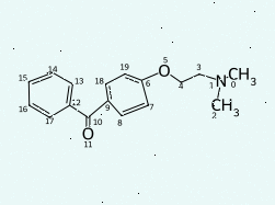 CN(C)CCOc1ccc(C(=O)c2c[c]ccc2)cc1